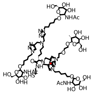 CC(=O)N[C@H]1[C@H](OCCCCCn2cc(CN(CCCC[C@@H](C(=O)NCCS)N(Cc3cn(CCCCCO[C@@H]4O[C@H](CO)[C@H](O)[C@H](O)[C@H]4NC(C)=O)nn3)Cc3cn(CCOCCO[C@@H]4O[C@H](CO)[C@H](O)[C@H](O)[C@H]4C)nn3)Cc3cn(CCCCCO[C@@H]4O[C@H](CO)[C@H](O)[C@H](O)[C@H]4NC(C)=O)nn3)nn2)O[C@H](CO)[C@H](O)[C@@H]1O